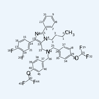 CCCCn1c(-c2ccccc2)nc(-c2ccc(F)c(F)c2)c1CN(Cc1ccc(OC(F)F)cc1)Cc1ccc(OC(F)F)cc1